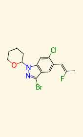 CC(F)=Cc1cc2c(Br)nn(C3CCCCO3)c2cc1Cl